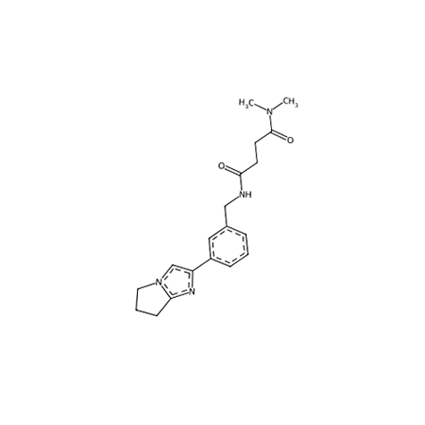 CN(C)C(=O)CCC(=O)NCc1cccc(-c2cn3c(n2)CCC3)c1